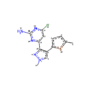 Cc1ccc(-c2cn(C)nc2-c2cc(Cl)nc(N)n2)s1